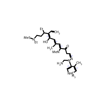 C=C\C(=C(O)/C=C(C)/C=C(\NC)C(=O)C/C=N\N(CN)C(=C/N)/C(C)=C\C)C(CC)CCN(CC)SC